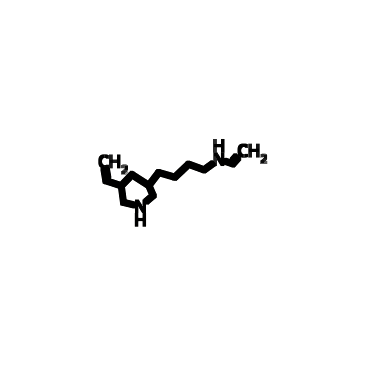 C=CNCCCCC1CNCC(C=C)C1